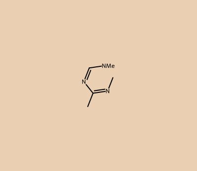 C/N=C(C)\N=C/NC